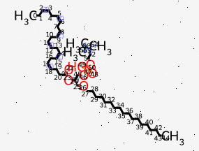 CC/C=C\C/C=C\C/C=C\C/C=C\C/C=C\C/C=C\CCC(=O)O[C@H](COCCCCCCCCCCCCCCCCCC)COP(=O)(O)OCC[N+](C)(C)C